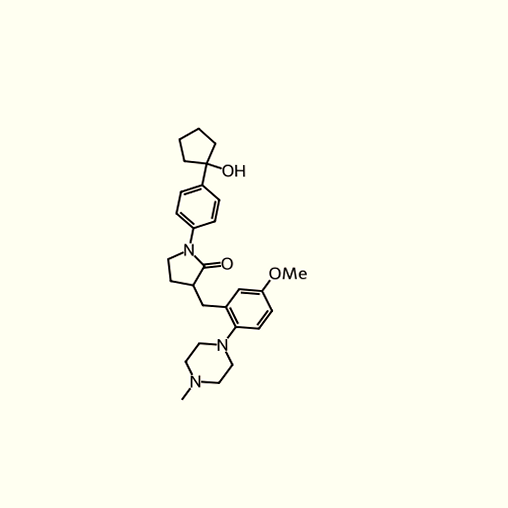 COc1ccc(N2CCN(C)CC2)c(CC2CCN(c3ccc(C4(O)CCCC4)cc3)C2=O)c1